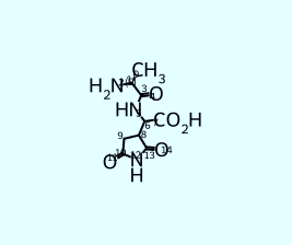 C[C@H](N)C(=O)NC(C(=O)O)C1CC(=O)NC1=O